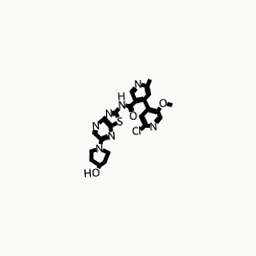 COc1cnc(Cl)cc1-c1cc(C)ncc1C(=O)Nc1nc2ncc(N3CCC(O)CC3)nc2s1